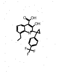 CCc1cccc2c(C(=O)O)c(O)c(C3(c4ccc(C(F)(F)F)cc4)CC3)nc12